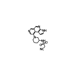 N#CCS(=O)(=O)NC1CCCN(c2cncc3cnc4[nH]ccc4c23)C1